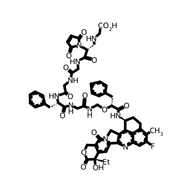 CC[C@@]1(O)C(=O)OCc2c1cc1n(c2=O)Cc2c-1nc1cc(F)c(C)c3c1c2[C@@H](NC(=O)[C@@H](Cc1ccccc1)OCNC(=O)CNC(=O)[C@H](Cc1ccccc1)NC(=O)CNC(=O)CNC(=O)[C@@H](CNCC(=O)O)N1C(=O)C=CC1=O)CC3